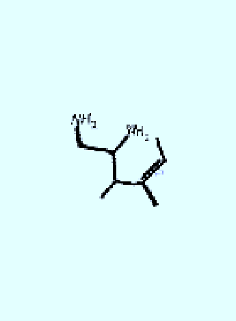 C/C=C(/C)C(C)C(N)CN